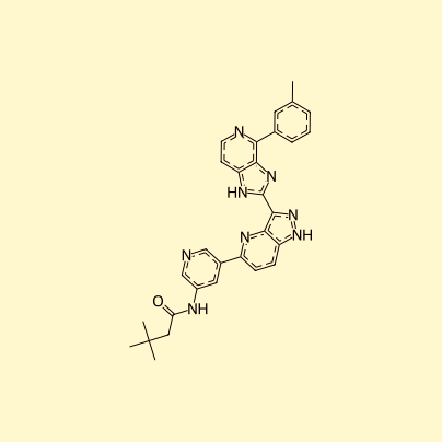 Cc1cccc(-c2nccc3[nH]c(-c4n[nH]c5ccc(-c6cncc(NC(=O)CC(C)(C)C)c6)nc45)nc23)c1